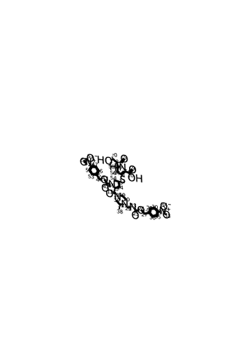 C[C@@H](O)[C@H]1C(=O)N2C(C(=O)O)=C(S[C@H]3C[C@@H](C(=O)N4CCN(C=NC(=O)OCc5ccc([N+](=O)[O-])cc5)[C@@H](C)C4)N(C(=O)OCc4ccc([N+](=O)[O-])cc4)C3)[C@H](C)[C@H]12